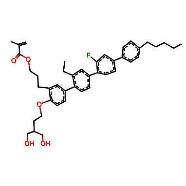 C=C(C)C(=O)OCCCc1cc(-c2ccc(-c3ccc(-c4ccc(CCCCC)cc4)cc3F)cc2CC)ccc1OCCC(CO)CO